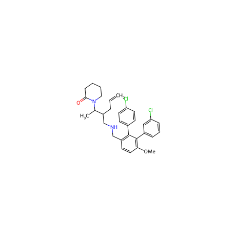 C=CCC(CNCc1ccc(OC)c(-c2cccc(Cl)c2)c1-c1ccc(Cl)cc1)C(C)N1CCCCC1=O